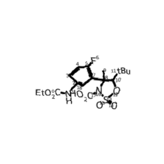 CCOC(=O)Nc1ccc(F)c(C2(C)C(C(C)(C)C)OS(=O)(=O)N2C(=O)O)c1